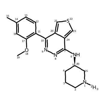 [2H]N1CCC[C@@H](Nc2nnc(-c3ccc(C)cc3OC)c3cscc23)C1